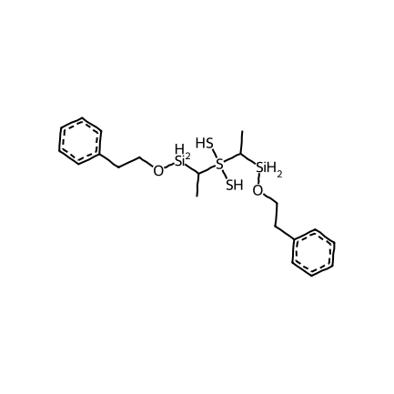 CC([SiH2]OCCc1ccccc1)S(S)(S)C(C)[SiH2]OCCc1ccccc1